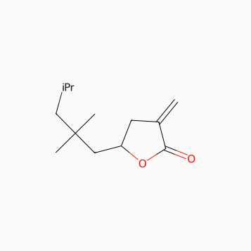 C=C1CC(CC(C)(C)CC(C)C)OC1=O